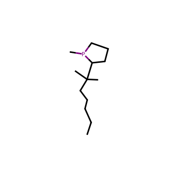 CCCCCC(C)(C)C1CCCP1C